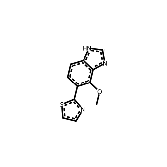 COc1c(-c2nccs2)ccc2[nH][c]nc12